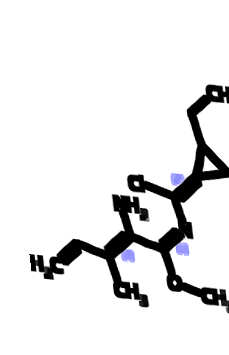 C=C/C(C)=C(N)/C(=N\C(Cl)=C1/CC1CC)OC